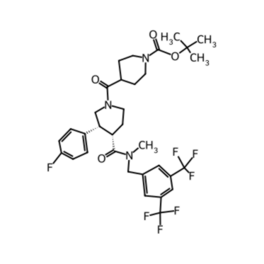 CN(Cc1cc(C(F)(F)F)cc(C(F)(F)F)c1)C(=O)[C@H]1CCN(C(=O)C2CCN(C(=O)OC(C)(C)C)CC2)C[C@H]1c1ccc(F)cc1